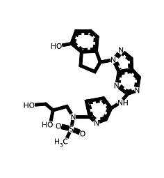 CS(=O)(=O)N(CC(O)CO)c1ccc(Nc2ncc3cnn(C4CCc5c(O)cccc54)c3n2)cn1